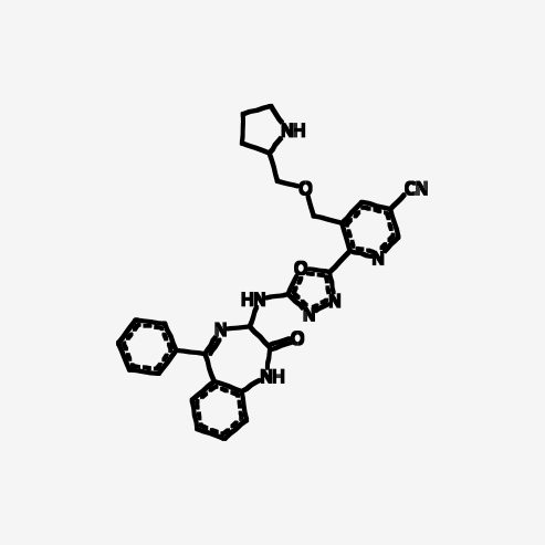 N#Cc1cnc(-c2nnc(NC3N=C(c4ccccc4)c4ccccc4NC3=O)o2)c(COCC2CCCN2)c1